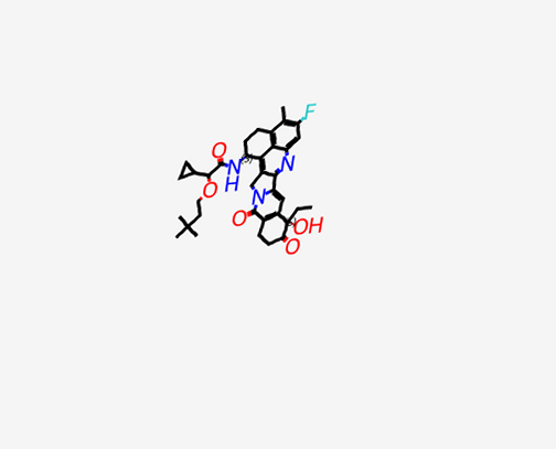 CC[C@@]1(O)C(=O)CCc2c1cc1n(c2=O)Cc2c-1nc1cc(F)c(C)c3c1c2[C@@H](NC(=O)C(OCCC(C)(C)C)C1CC1)CC3